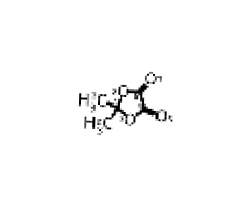 CC1(C)OC(=O)C(=O)O1